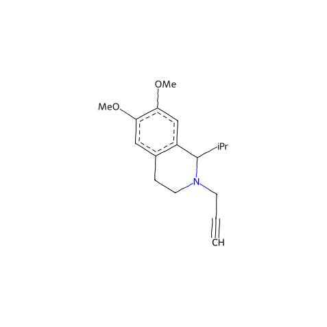 C#CCN1CCc2cc(OC)c(OC)cc2C1C(C)C